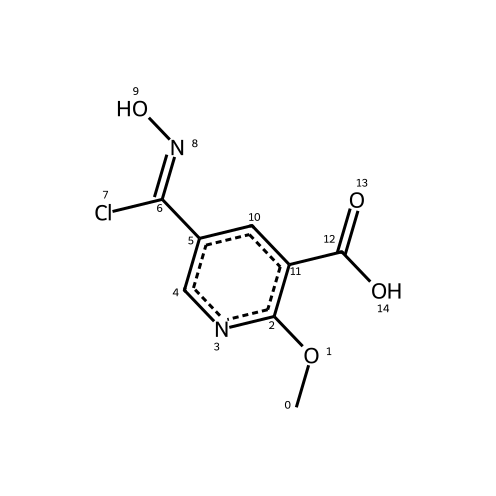 COc1ncc(C(Cl)=NO)cc1C(=O)O